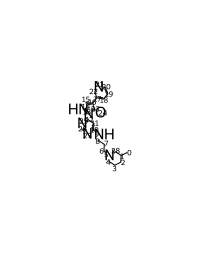 CC1CCCN(CCCNc2cc(-n3[nH]cc(-c4cccnc4)c3=O)ncn2)C1